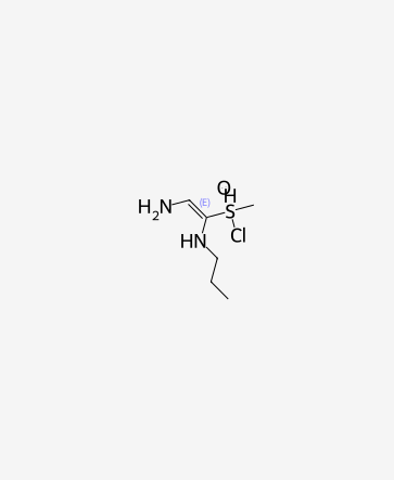 CCCN/C(=C\N)[SH](C)(=O)Cl